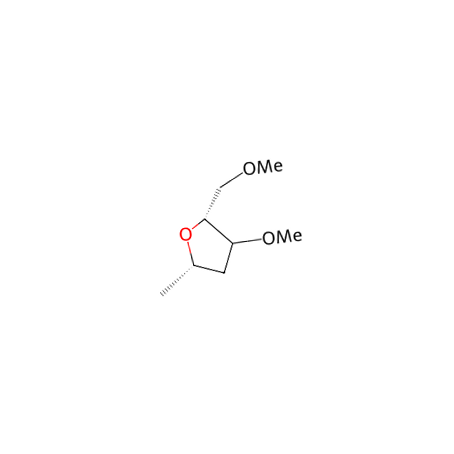 COC[C@H]1O[C@@H](C)CC1OC